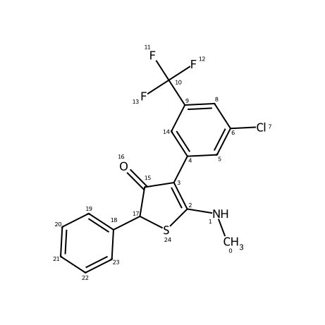 CNC1=C(c2cc(Cl)cc(C(F)(F)F)c2)C(=O)C(c2ccccc2)S1